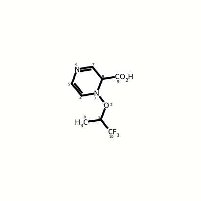 CC(ON1C=CN=CC1C(=O)O)C(F)(F)F